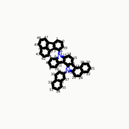 c1cc2c(c(-n3c4ccccc4c4c3ccc3c5c6ccccc6ccc5n(-c5ccc6ccccc6c5)c34)c1)-c1cccc3cccc-2c13